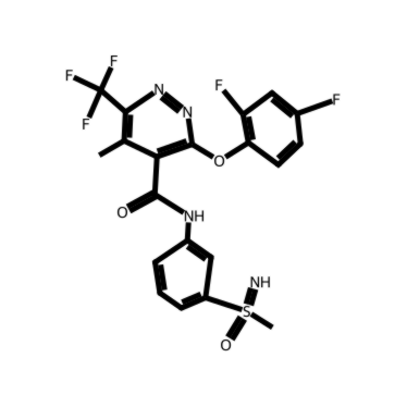 Cc1c(C(F)(F)F)nnc(Oc2ccc(F)cc2F)c1C(=O)Nc1cccc(S(C)(=N)=O)c1